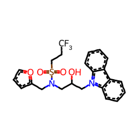 O=S(=O)(CCC(F)(F)F)N(Cc1ccco1)CC(O)Cn1c2ccccc2c2ccccc21